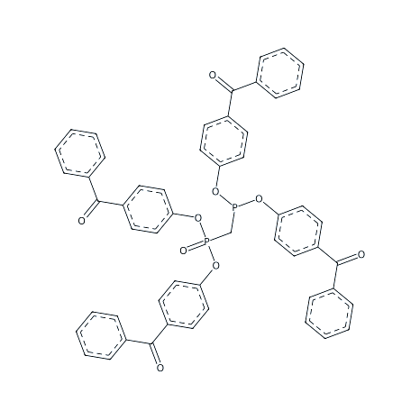 O=C(c1ccccc1)c1ccc(OP(CP(=O)(Oc2ccc(C(=O)c3ccccc3)cc2)Oc2ccc(C(=O)c3ccccc3)cc2)Oc2ccc(C(=O)c3ccccc3)cc2)cc1